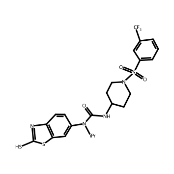 CC(C)N(C(=O)NC1CCN(S(=O)(=O)c2cccc(C(F)(F)F)c2)CC1)c1ccc2nc(S)sc2c1